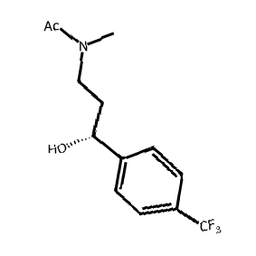 CC(=O)N(C)CC[C@@H](O)c1ccc(C(F)(F)F)cc1